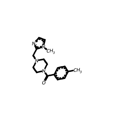 Cc1ccc(C(=O)N2CCN(Cc3nccn3C)CC2)cc1